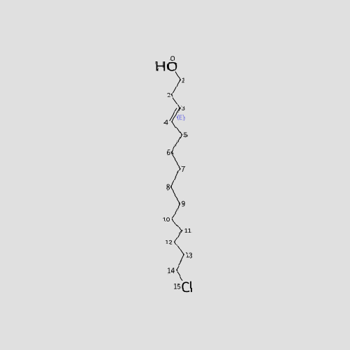 OCC/C=C/CCCCCCCCCCCl